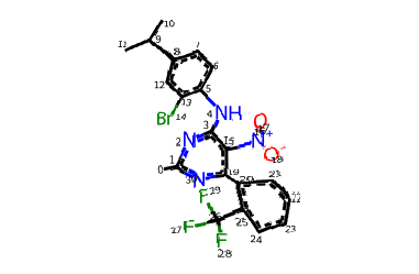 Cc1nc(Nc2ccc(C(C)C)cc2Br)c([N+](=O)[O-])c(-c2ccccc2C(F)(F)F)n1